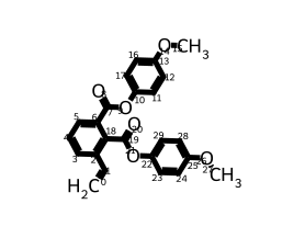 C=Cc1cccc(C(=O)Oc2ccc(OC)cc2)c1C(=O)Oc1ccc(OC)cc1